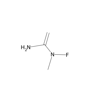 C=C(N)N(C)F